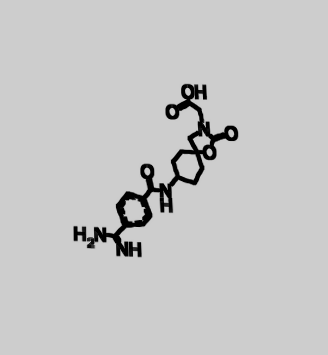 N=C(N)c1ccc(C(=O)NC2CCC3(CC2)CN(CC(=O)O)C(=O)O3)cc1